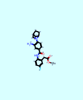 CC(C)(C)OC(=O)Cc1cc(F)ccc1NC(=O)c1ccc(N2CC3CCC2C3)c(N)c1